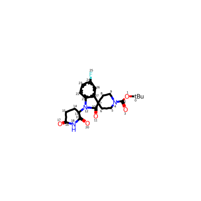 CC(C)(C)OC(=O)N1CCC2(CC1)C(=O)N(C1CCC(=O)NC1=O)c1ccc(F)cc12